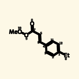 CCc1ccc(C=CC(=O)OOC)cc1